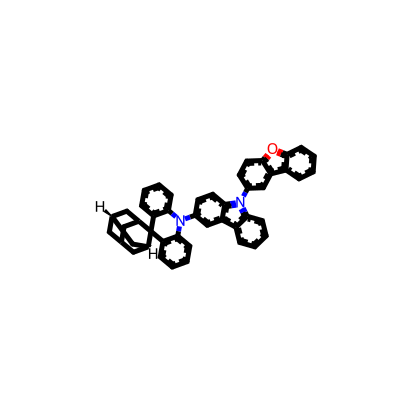 c1ccc2c(c1)N(c1ccc3c(c1)c1ccccc1n3-c1ccc3oc4ccccc4c3c1)c1ccccc1C21C2CC3C[C@H](C2)C[C@H]1C3